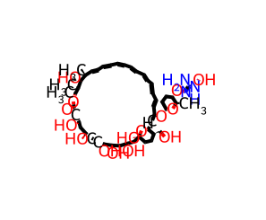 C[C@@H]1[C@H](O)[C@@H](C)/C=C/C=C/C=C/C=C/C=C/C=C/C=C/[C@H](O[C@H]2CC[C@H](O/N=C(\N)NO)[C@@H](C)O2)C[C@@H]2O[C@@](O)(CC[C@H]2CO)C[C@@H](O)C[C@@H](O)[C@H](O)CC[C@@H](O)C[C@@H](O)CC(=O)O[C@H]1C